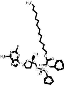 C#C[C@@]1(CO[P@@](=O)(N[C@@H](Cc2ccccc2)C(=O)OCCCCCCCCCCCCCC)Oc2ccccc2)[CH]C[C@H](n2cnc3c(N)nc(F)nc32)O1